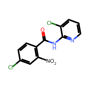 O=C(Nc1ncccc1Cl)c1ccc(Cl)cc1[N+](=O)[O-]